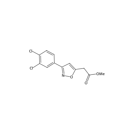 COC(=O)Cc1cc(-c2ccc(Cl)c(Cl)c2)no1